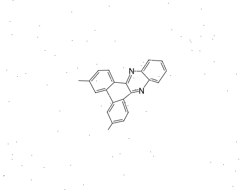 Cc1ccc2c(c1)c1cc(C)ccc1c1nc3ccccc3nc21